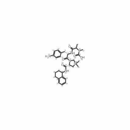 CC(C(=O)N[C@@H](Cc1ccc(N)cc1)C(=O)N1C[Si](C)(C)C[C@@H]1C(=O)NC1CCCc2ccccc21)N(C)C(=O)O